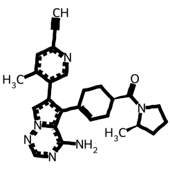 C#Cc1cc(C)c(-c2cn3ncnc(N)c3c2C2=CC[C@H](C(=O)N3CCC[C@H]3C)CC2)cn1